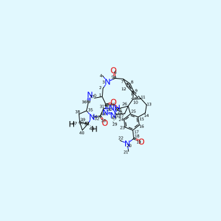 CC1CN(C)C(=O)c2ccc3c(c2)CCc2cc(C(=O)N(C)C)ccc2C3(C[C@H](C)NCC(=O)N2C(C#N)C[C@@H]3C[C@@H]32)c2nnc1o2